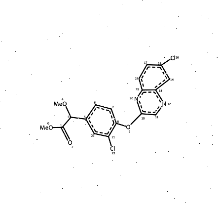 COC(=O)C(OC)c1ccc(Oc2cnc3cc(Cl)ccc3n2)c(Cl)c1